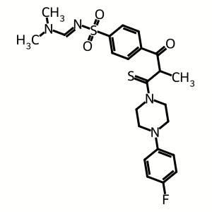 CC(C(=O)c1ccc(S(=O)(=O)N=CN(C)C)cc1)C(=S)N1CCN(c2ccc(F)cc2)CC1